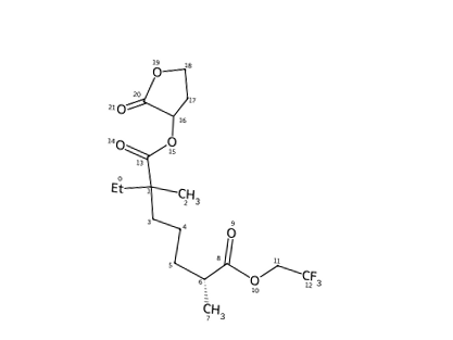 CCC(C)(CCC[C@@H](C)C(=O)OCC(F)(F)F)C(=O)OC1CCOC1=O